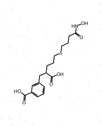 O=C(CCCSCCCC(Cc1cccc(C(=O)O)c1)C(=O)O)NO